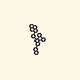 c1cc(-c2ccc3ccc4cccc5ccc2c3c45)cc(-c2nc3cc(-c4ccc5ccccc5c4)ccc3c3c4ccccc4c4ccccc4c23)c1